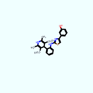 CCOC(=O)C1=C(C)NC(C)=C(C(=O)OCC)C1c1ccccc1Nc1nc(-c2cccc(O)c2)cs1